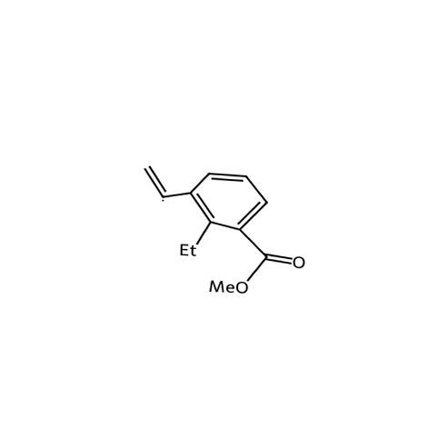 C=[C]c1cccc(C(=O)OC)c1CC